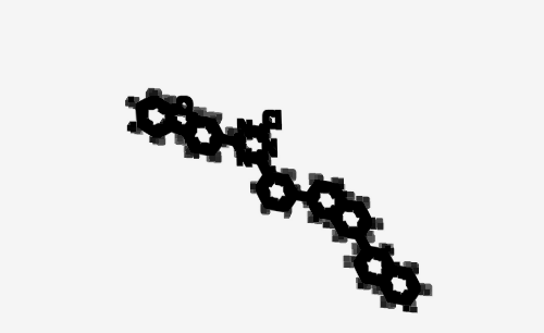 Clc1nc(-c2cccc(-c3ccc4ccc(-c5ccc6ccccc6c5)cc4c3)c2)nc(-c2ccc3c(c2)oc2ccccc23)n1